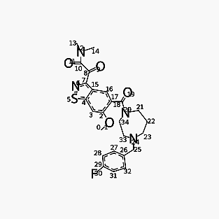 COc1cc2snc(C(=O)C(=O)N(C)C)c2cc1C(=O)N1CCCN(Cc2ccc(F)cc2)CC1